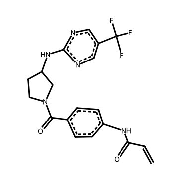 C=CC(=O)Nc1ccc(C(=O)N2CCC(Nc3ncc(C(F)(F)F)cn3)C2)cc1